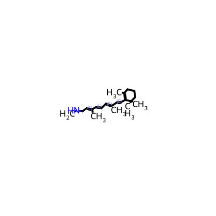 [CH2]NC/C=C(C)/C=C/C=C(C)/C=C/C1=C(C)CCCC1(C)C